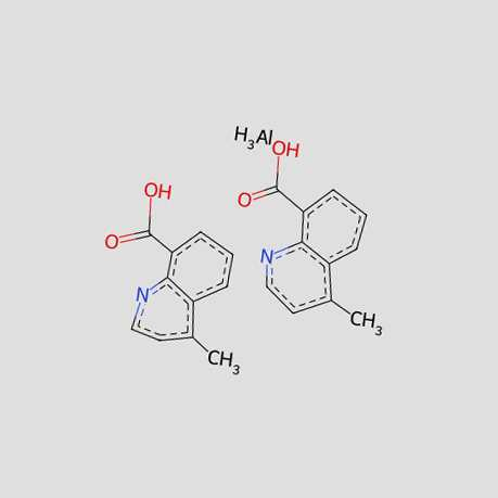 Cc1ccnc2c(C(=O)O)cccc12.Cc1ccnc2c(C(=O)O)cccc12.[AlH3]